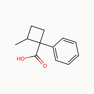 CC1CCC1(C(=O)O)c1ccccc1